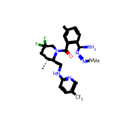 CN/N=N\C(N)c1ccc(C)cc1C(=O)N1CC(F)(F)C[C@@H](C)C1CNc1ccc(C(F)(F)F)cn1